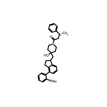 CNc1ccccc1-c1c[c]cc2c1CCC2CC1(O)CCN(C(=O)C[C@@H](C)c2ccccc2)CC1